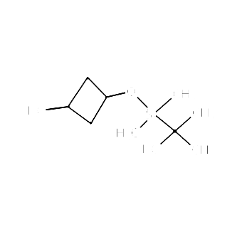 CC1CC(O[Si](C)(C)C(C)(C)C)C1